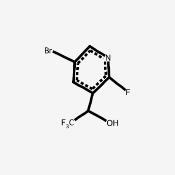 OC(c1cc(Br)cnc1F)C(F)(F)F